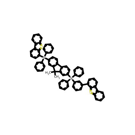 CC1(C)c2cc([Si](c3ccccc3)(c3ccccc3)c3cccc(-c4cccc5c4sc4ccccc45)c3)ccc2-c2ccc([Si](c3ccccc3)(c3ccccc3)c3cccc4c3sc3ccccc34)cc21